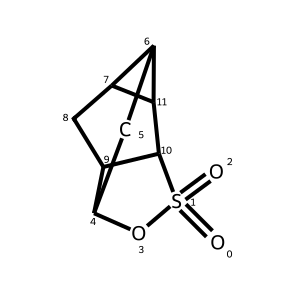 O=S1(=O)OC2CC3C4CC2C1C34